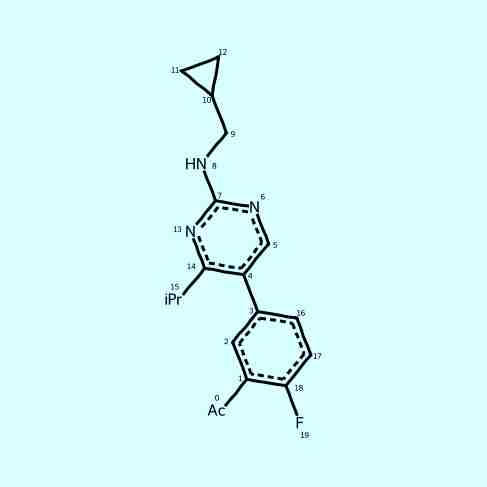 CC(=O)c1cc(-c2cnc(NCC3CC3)nc2C(C)C)ccc1F